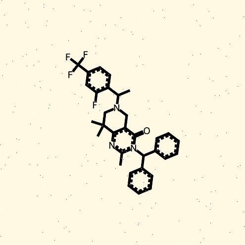 Cc1nc2c(c(=O)n1C(c1ccccc1)c1ccccc1)CN(C(C)c1ccc(C(F)(F)F)cc1F)CC2(C)C